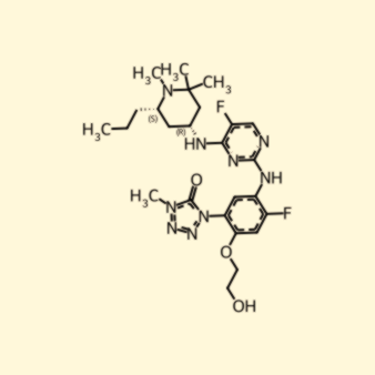 CCC[C@H]1C[C@@H](Nc2nc(Nc3cc(-n4nnn(C)c4=O)c(OCCO)cc3F)ncc2F)CC(C)(C)N1C